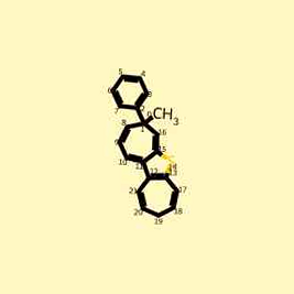 CC1(c2ccccc2)C=CC=c2c3c(sc2=C1)C=CCC=C3